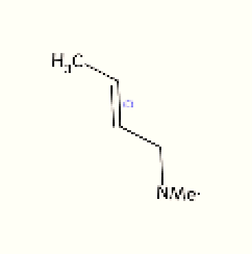 C/C=C/C[N]C